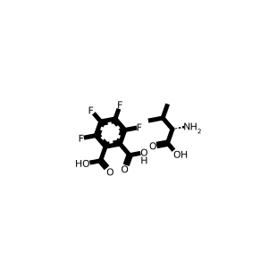 CC(C)[C@H](N)C(=O)O.O=C(O)c1c(F)c(F)c(F)c(F)c1C(=O)O